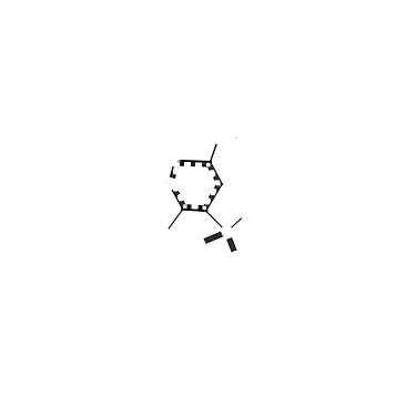 COc1cc(S(=O)(=O)Cl)c(OC)nn1